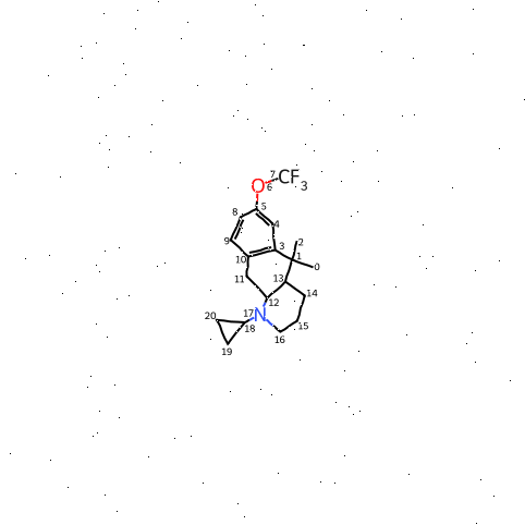 CC1(C)c2cc(OC(F)(F)F)ccc2CC2C1CCCN2C1CC1